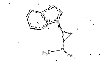 CN(C)C1C[C@@H]1n1ccc2ccccc21